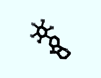 [2H]c1c([2H])c([2H])c(-c2ccc3c(c2)[nH]c2ccccc23)c([2H])c1[2H]